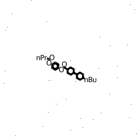 CCCCC1CCC(C2CCC(C(=O)Oc3ccc(OC(=O)CCC)cc3)CC2)CC1